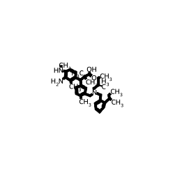 CCC(C)c1ccccc1CN(Cc1cc(C(c2ccc(NC)c(N)c2C)C(C)(C)C(=O)O)ccc1C)C[C@H](C)CC